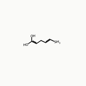 OC(O)=CCC=C[SiH3]